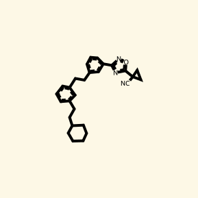 N#CC1(c2nc(-c3cccc(CCc4cccc(CCC5CCCCC5)c4)c3)no2)CC1